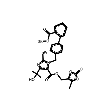 CCCc1nc(C(C)(C)O)c(C(=O)OCc2oc(=O)oc2C)n1Cc1ccc(-c2ccccc2C(=O)OC(C)(C)C)cc1